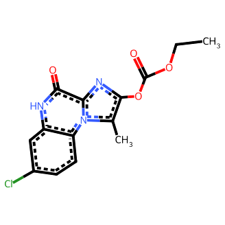 CCOC(=O)Oc1nc2c(=O)[nH]c3cc(Cl)ccc3n2c1C